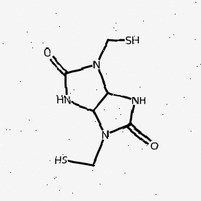 O=C1NC2C(NC(=O)N2CS)N1CS